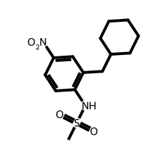 CS(=O)(=O)Nc1ccc([N+](=O)[O-])cc1CC1CCCCC1